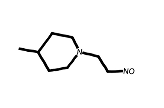 CC1CCN(CCN=O)CC1